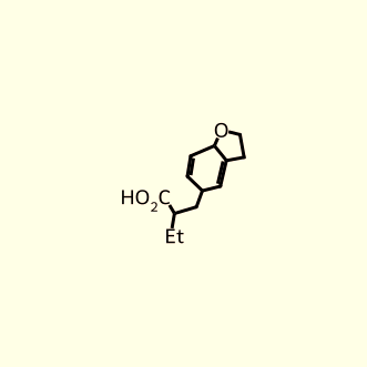 CCC(CC1C=CC2OCCC2=C1)C(=O)O